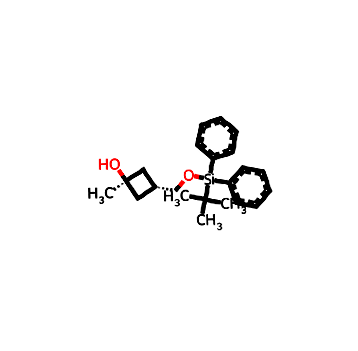 CC(C)(C)[Si](OC[C@H]1C[C@](C)(O)C1)(c1ccccc1)c1ccccc1